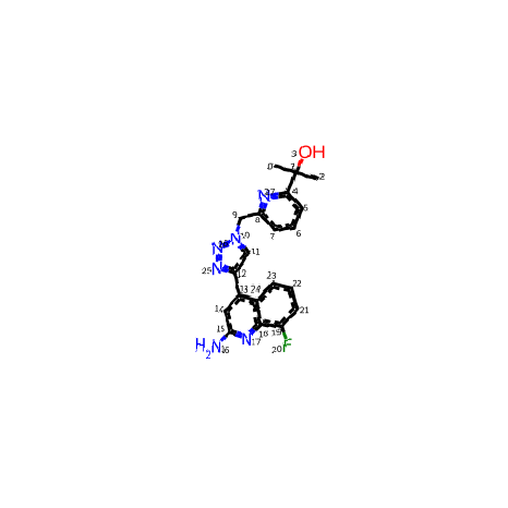 CC(C)(O)c1cccc(Cn2cc(-c3cc(N)nc4c(F)cccc34)nn2)n1